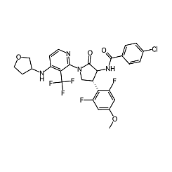 COc1cc(F)c([C@@H]2CN(c3nccc(NC4CCOC4)c3C(F)(F)F)C(=O)C2NC(=O)c2ccc(Cl)cc2)c(F)c1